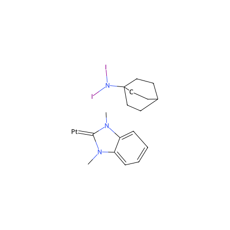 Cn1[c](=[Pt])n(C)c2ccccc21.IN(I)C12CCC(CC1)CC2